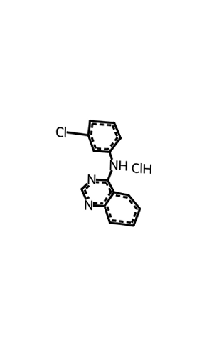 Cl.Clc1cccc(Nc2ncnc3ccccc23)c1